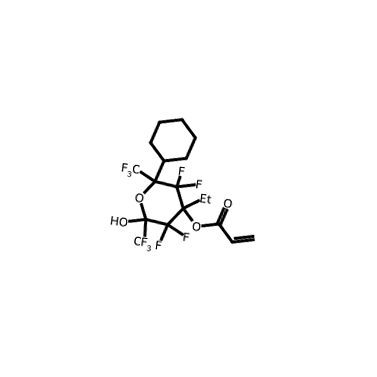 C=CC(=O)OC1(CC)C(F)(F)C(O)(C(F)(F)F)OC(C2CCCCC2)(C(F)(F)F)C1(F)F